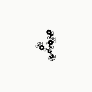 O=C(Nc1cc(F)c(CC(=O)N2C[C@@H](N3C[C@@H]4OCO[C@@H]4C3)C[C@H]2CO[C@H]2CC[C@H](C(=O)O)CC2)cc1Cl)c1coc2ccccc12